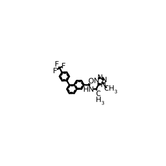 CC(NC(=O)c1ccc2c(-c3ccc(C(F)(F)F)cc3)cccc2c1)c1nnnn1C